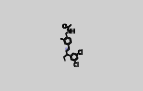 CCC(/C=C/c1ccc(CNC(C)=O)c(C)c1)c1cc(Cl)cc(Cl)c1